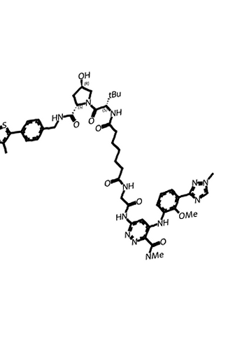 CNC(=O)c1nnc(NC(=O)CNC(=O)CCCCCC(=O)N[C@H](C(=O)N2C[C@H](O)C[C@H]2C(=O)NCc2ccc(-c3scnc3C)cc2)C(C)(C)C)cc1Nc1cccc(-c2ncn(C)n2)c1OC